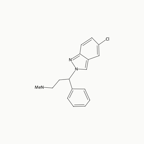 CNCCC(c1ccccc1)n1cc2cc(Cl)ccc2n1